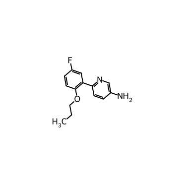 CCCOc1ccc(F)cc1-c1ccc(N)cn1